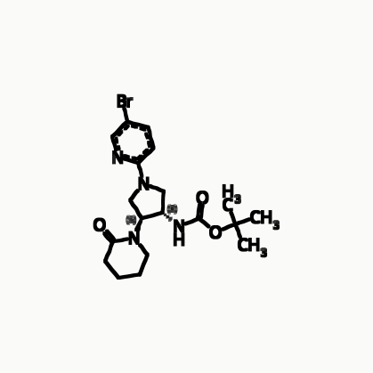 CC(C)(C)OC(=O)N[C@H]1CN(c2ccc(Br)cn2)C[C@@H]1N1CCCCC1=O